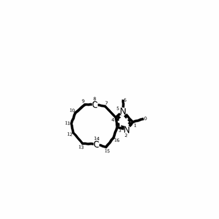 Cc1nc2c(n1C)CCCCCCCCCC2